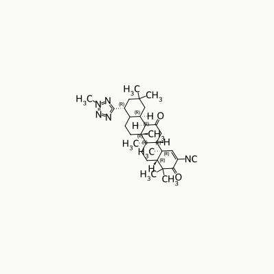 [C-]#[N+]C1=C[C@]2(C)[C@H]3CC(=O)[C@@H]4[C@@H]5CC(C)(C)C[C@@H](c6nnn(C)n6)C5CC[C@@]4(C)[C@]3(C)CC[C@H]2C(C)(C)C1=O